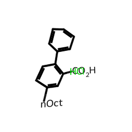 CCCCCCCCc1ccc(-c2ccccc2)c(C(=O)O)c1.Cl